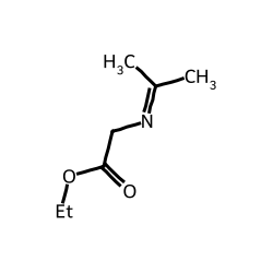 CCOC(=O)CN=C(C)C